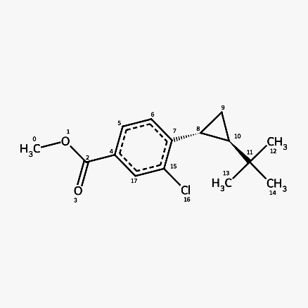 COC(=O)c1ccc([C@@H]2C[C@H]2C(C)(C)C)c(Cl)c1